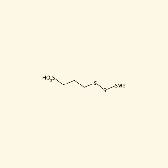 CSSSCCCS(=O)(=O)O